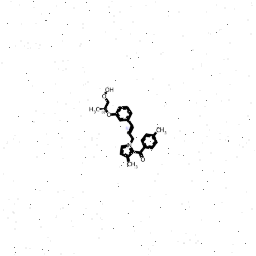 Cc1ccc(C(=O)c2c(C)ccn2C/C=C/c2cccc(O[C@@H](C)COO)c2)cc1